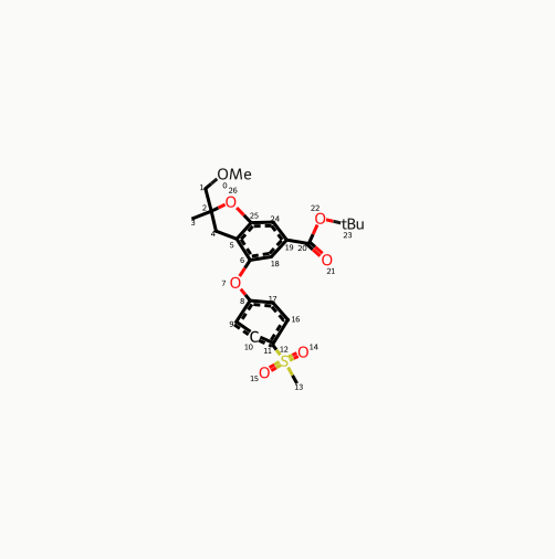 COCC1(C)Cc2c(Oc3ccc(S(C)(=O)=O)cc3)cc(C(=O)OC(C)(C)C)cc2O1